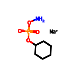 NOP(=O)([O-])OC1CCCCC1.[Na+]